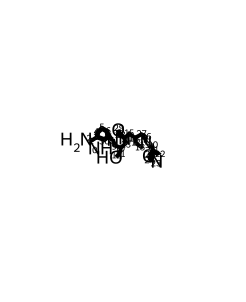 N=C(N)c1cccc(N2CC(CO)CN(CC3CCN(Cc4cnco4)CC3)C2=O)c1